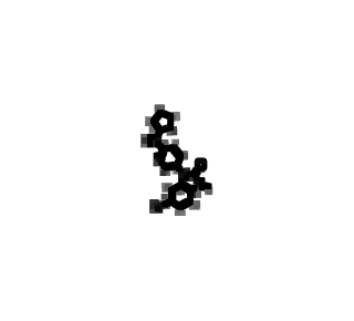 Cn1c(=O)n(-c2ccc(NC3CCCC3)nc2)c2cc(Br)ccc21